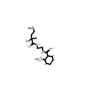 CCC(C)(CCNC)C(=O)OCCOC(=O)C1CCCCC1C(=O)O